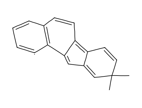 CC1(C)C=CC2=c3ccc4ccc[c]c4c3=CC2=C1